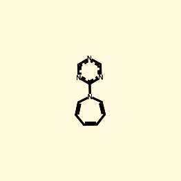 C1=CC=CN(c2ncncn2)C=C1